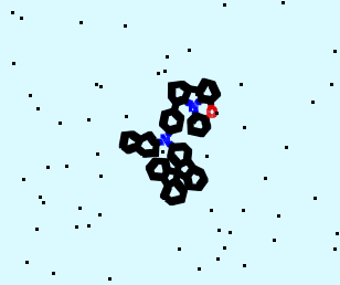 c1ccc2c(c1)Oc1cccc3c4cccc(-c5ccc(N(c6ccc7c(c6)C6(c8ccccc8-c8ccccc86)c6ccccc6-7)c6ccc7ccccc7c6)cc5)c4n-2c13